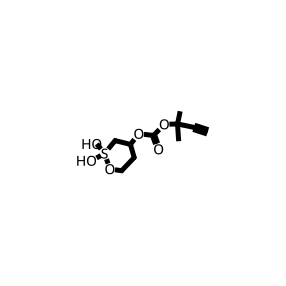 C#CC(C)(C)OC(=O)OC1CCOS(O)(O)C1